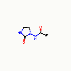 CC(C)C(=O)NN1CCNC1=O